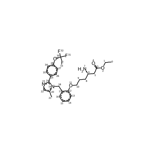 CCOC(=O)C[C@H](N)CCCOc1ccccc1Cn1c(C)cnc1-c1ccc(OC(F)(F)F)cc1